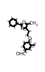 Cc1oc(-c2ccccc2)nc1CCOc1ccc(C=O)cc1F